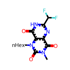 CCCCCCn1c(=O)n(C)c(=O)c2nc(C(F)F)[nH]c(=O)c21